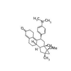 CO[C@@]12C[C@]1(C)C[C@H]1[C@@H]3CCC4=CC(=O)CCC4=C3[C@@H](c3ccc(N(C)C)cc3)C[C@@]12C